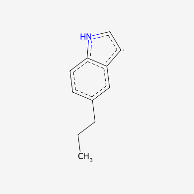 CCCc1ccc2[nH]c[c]c2c1